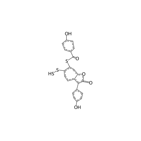 O=C(Sc1cc2oc(=O)c(-c3ccc(O)cc3)c-2ccc1SS)c1ccc(O)cc1